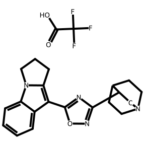 O=C(O)C(F)(F)F.c1ccc2c(c1)c(-c1nc(C3CN4CCC3CC4)no1)c1n2CCC1